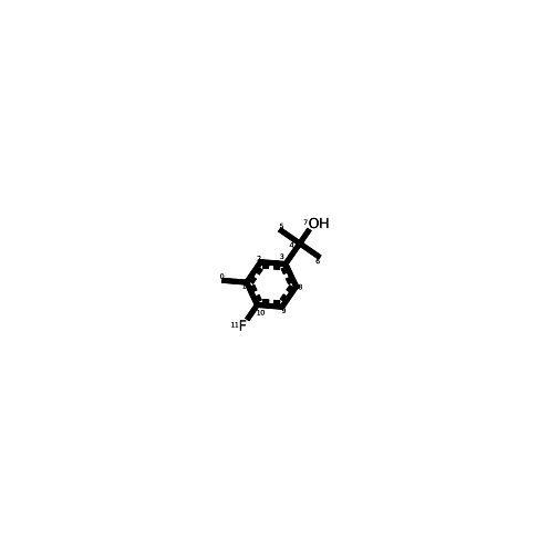 Cc1cc(C(C)(C)O)ccc1F